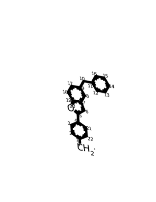 [CH2]c1ccc(-c2cc3cc(Cc4ccccc4)ccc3o2)cc1